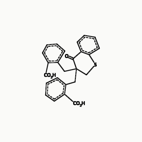 O=C(O)c1ccccc1CC1(Cc2ccccc2C(=O)O)CSc2ccccc2C1=O